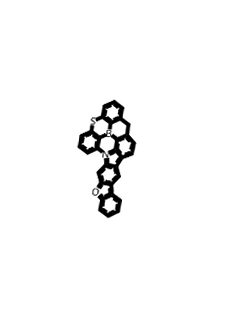 c1cc2c3c(c1)Sc1cccc4c1B3c1c(ccc3c5cc6c(cc5n-4c13)oc1ccccc16)C2